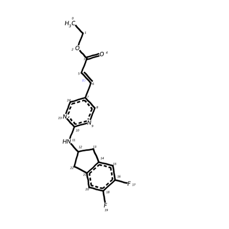 CCOC(=O)/C=C/c1cnc(NC2Cc3cc(F)c(F)cc3C2)nc1